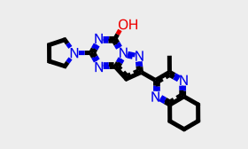 Cc1nc2c(nc1-c1cc3nc(N4CCCC4)nc(O)n3n1)CCCC2